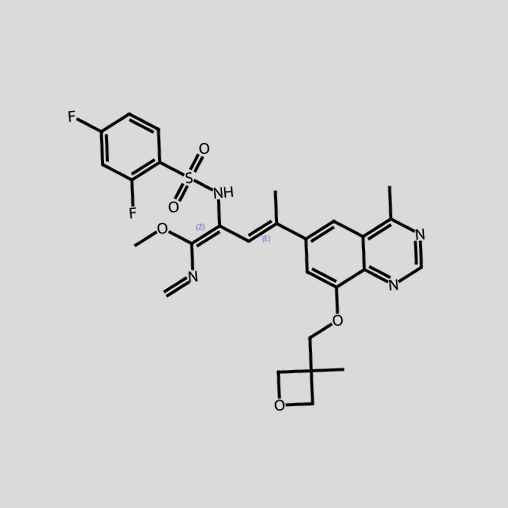 C=N/C(OC)=C(\C=C(/C)c1cc(OCC2(C)COC2)c2ncnc(C)c2c1)NS(=O)(=O)c1ccc(F)cc1F